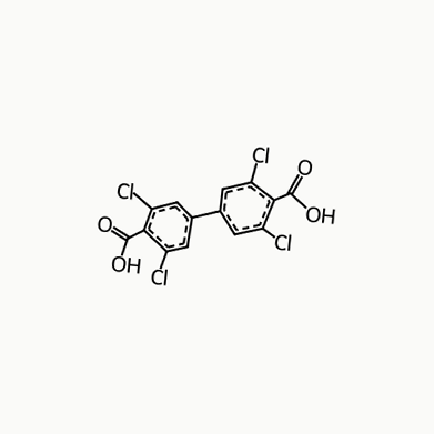 O=C(O)c1c(Cl)cc(-c2cc(Cl)c(C(=O)O)c(Cl)c2)cc1Cl